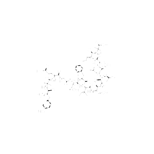 CC[C@H](C)[C@H](NC(=O)[C@H](Cc1ccccc1)NC(=O)[C@@H](NC(=O)CNC(=O)[C@H](CCC(=O)O)NC(=O)C(C)(C)NC(=O)[C@@H](N)Cc1ccc(O)cc1)[C@@H](C)O)C(=O)N[C@@H](CO)C(=O)N[C@@H](CC(=O)O)C(=O)N[C@@H](CC(C)C)C(=O)N[C@@H](CO)C(=O)N[C@H](C(=O)NC(C)(C)C(=O)O)[C@@H](C)CC